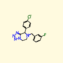 Fc1cccc(CN2CCn3nnnc3C2c2ccc(Cl)cc2)c1